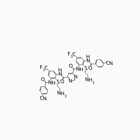 N#Cc1ccc(C(=O)Nc2cc(C(F)(F)F)cc(NC(=O)c3cc(C(=O)Nc4cc(C(F)(F)F)cc(NC(=O)c5ccc(C#N)cc5)c4SCCN)ncn3)c2SCCN)cc1